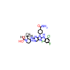 CC(C)(C)C1C(Nc2ncc3nc(Nc4c(F)cc(F)cc4Cl)n(C4CCC(C(N)=O)CC4)c3n2)CCCN1C(=O)O